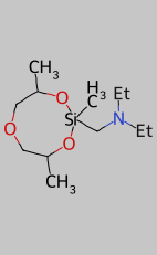 CCN(CC)C[Si]1(C)OC(C)COCC(C)O1